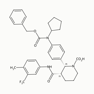 Cc1ccc(NC(=O)[C@H]2CCCN(C(=O)O)[C@H]2c2ccc(N(C(=O)OCc3ccccc3)C3CCCC3)cc2)cc1C(F)(F)F